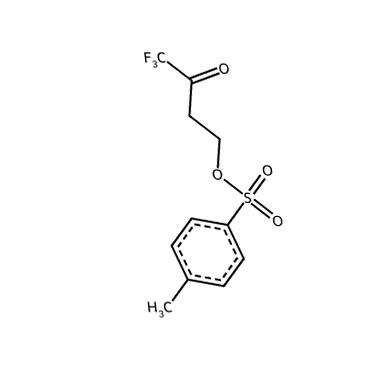 Cc1ccc(S(=O)(=O)OCCC(=O)C(F)(F)F)cc1